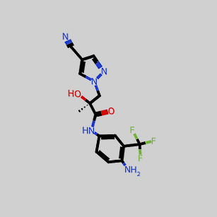 C[C@](O)(Cn1cc(C#N)cn1)C(=O)Nc1ccc(N)c(C(F)(F)F)c1